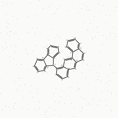 c1cc(-n2c3ccccc3c3ccccc32)c2cc3c(ccc4ccccc43)cc2c1